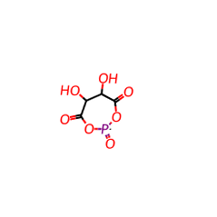 O=C1O[P](=O)OC(=O)C(O)C1O